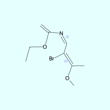 C=C(/N=C\C(Br)=C(/C)OC)OCC